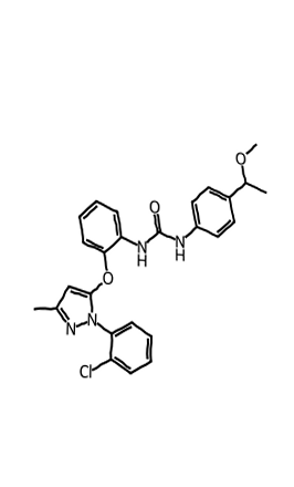 COC(C)c1ccc(NC(=O)Nc2ccccc2Oc2cc(C)nn2-c2ccccc2Cl)cc1